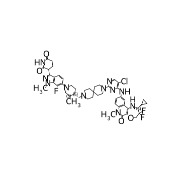 C[C@@H]1CN(c2ccc3c(C4CCC(=O)NC4=O)nn(C)c3c2F)CC[C@@H]1CN1CCC2(CC1)CCN(c1ncc(Cl)c(Nc3ccc4c(c3)c3c(c(=O)n4C)OCC(F)(F)[C@H](C4CC4)N3)n1)CC2